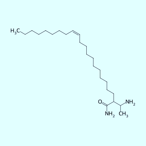 CCCCCCCC/C=C\CCCCCCCCCCC(C(N)=O)C(C)N